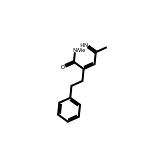 CNC(=O)/C(=C\C(C)=N)CCc1ccccc1